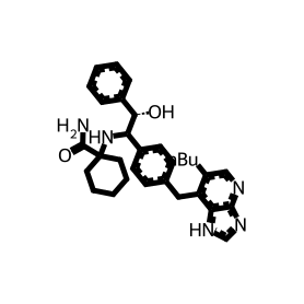 CCCCc1cnc2nc[nH]c2c1Cc1ccc(C(NC2(C(N)=O)CCCCC2)[C@@H](O)c2ccccc2)cc1